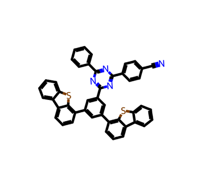 N#Cc1ccc(-c2nc(-c3ccccc3)nc(-c3cc(-c4cccc5c4sc4ccccc45)cc(-c4cccc5c4sc4ccccc45)c3)n2)cc1